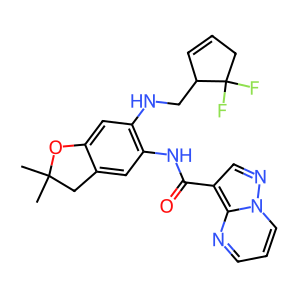 CC1(C)Cc2cc(NC(=O)c3cnn4cccnc34)c(NCC3C=CCC3(F)F)cc2O1